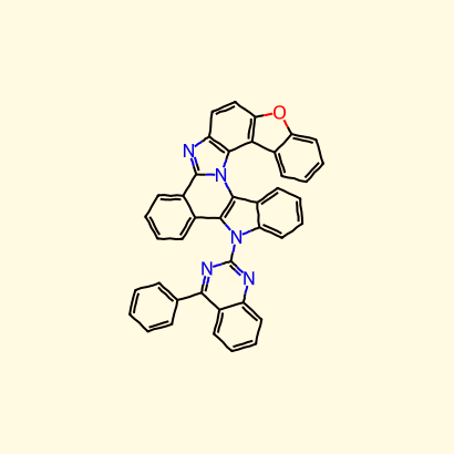 c1ccc(-c2nc(-n3c4ccccc4c4c3c3ccccc3c3nc5ccc6oc7ccccc7c6c5n34)nc3ccccc23)cc1